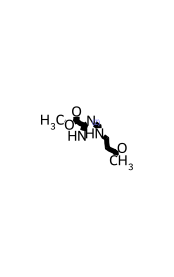 COC(=O)C(=N)/N=C\NCCC(C)=O